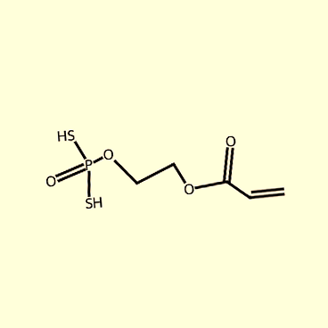 C=CC(=O)OCCOP(=O)(S)S